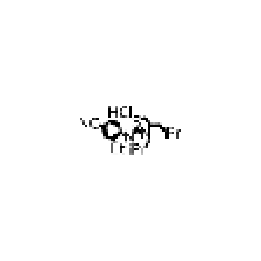 CCc1cc(C#N)ccc1N=C1SCC(CC(C)C)N1CC(C)C.Cl